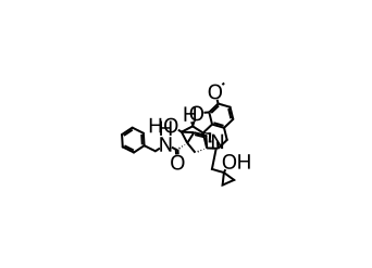 COc1ccc2c3c1O[C@H]1C4(O)C5=C[C@@]6(C[C@]54C(=O)NCc4ccccc4)C(C2)N(CC2(O)CC2)CC[C@]316